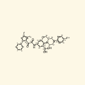 Cc1cc(-c2ccccc2)c(C(=O)C(=O)Nc2cc3c(c(B(O)O)c2)N2CCN(c4ncc(F)cn4)CC2CO3)n1C